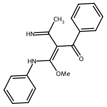 CO/C(Nc1ccccc1)=C(/C(C)=N)C(=O)c1ccccc1